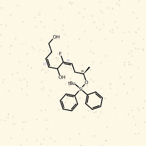 C[C@H](C/C=C(/F)C(O)/C=C\CCO)O[Si](c1ccccc1)(c1ccccc1)C(C)(C)C